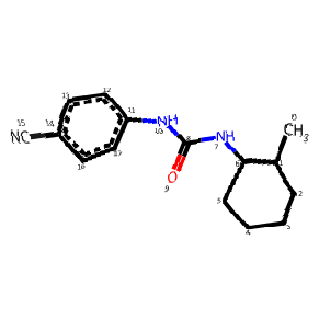 CC1CCCCC1NC(=O)Nc1ccc(C#N)cc1